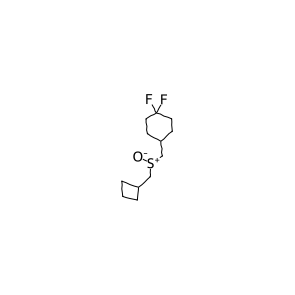 [O-][S+](CC1CCC1)CC1CCC(F)(F)CC1